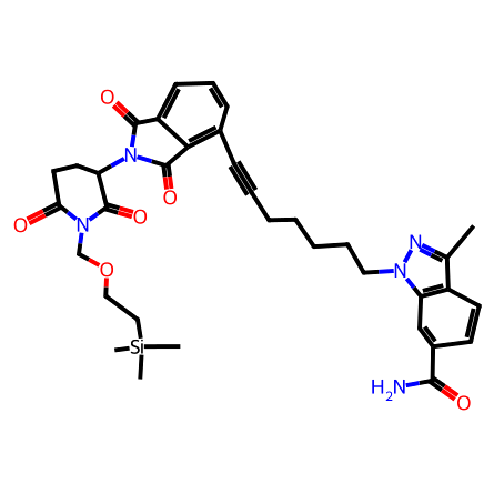 Cc1nn(CCCCCC#Cc2cccc3c2C(=O)N(C2CCC(=O)N(COCC[Si](C)(C)C)C2=O)C3=O)c2cc(C(N)=O)ccc12